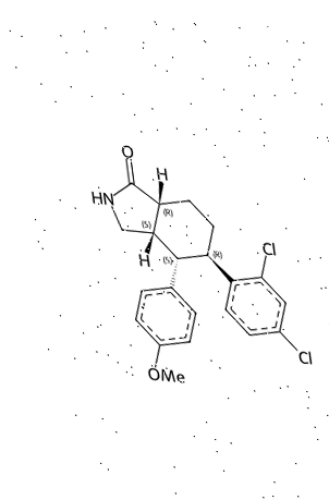 COc1ccc([C@@H]2[C@@H]3CNC(=O)[C@@H]3CC[C@H]2c2ccc(Cl)cc2Cl)cc1